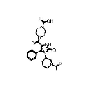 CC(=O)N1CCCC(n2c(-c3ccccc3)c(C(=O)N3CCN(C(=O)O)CC3)[nH]c2=O)C1